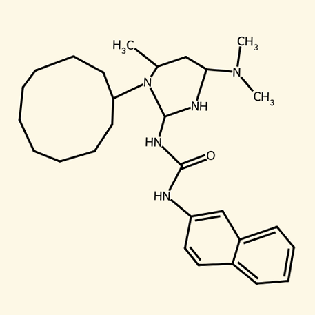 CC1CC(N(C)C)NC(NC(=O)Nc2ccc3ccccc3c2)N1C1CCCCCCCCC1